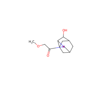 COCC(=O)N1CC2CC3CC(C2)C1C3O